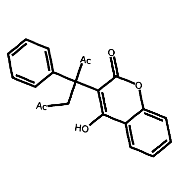 CC(=O)CC(C(C)=O)(c1ccccc1)c1c(O)c2ccccc2oc1=O